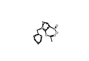 CC(=O)Oc1c([N+](=O)[O-])cnn1Cc1ccccc1